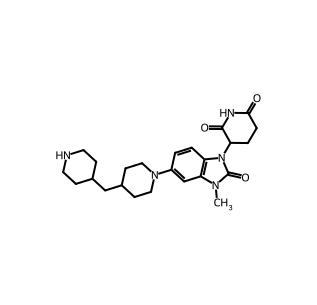 Cn1c(=O)n(C2CCC(=O)NC2=O)c2ccc(N3CCC(CC4CCNCC4)CC3)cc21